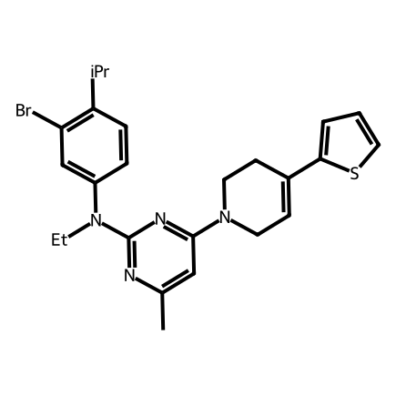 CCN(c1ccc(C(C)C)c(Br)c1)c1nc(C)cc(N2CC=C(c3cccs3)CC2)n1